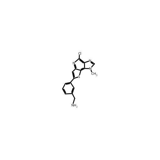 Cn1cnc2c(Cl)nc3cc(-c4cccc(CN)c4)sc3c21